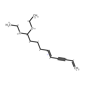 C=CC#C/C=C/CCCC(OCC)OCC